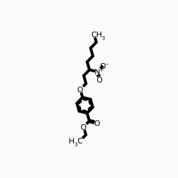 CCCCCC(CCOc1ccc(C(=O)OCC)cc1)[N+](=O)[O-]